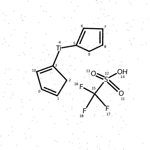 C1=CC[C]([Ti][C]2=CC=CC2)=C1.O=S(=O)(O)C(F)(F)F